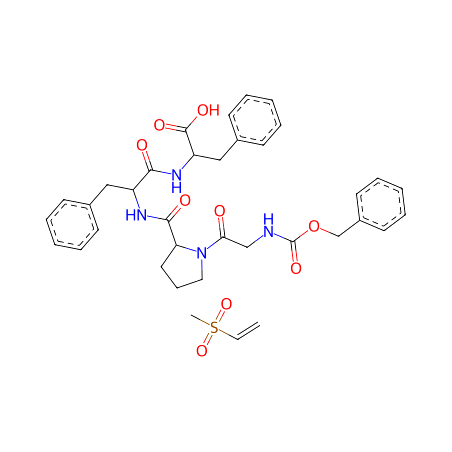 C=CS(C)(=O)=O.O=C(NCC(=O)N1CCCC1C(=O)NC(Cc1ccccc1)C(=O)NC(Cc1ccccc1)C(=O)O)OCc1ccccc1